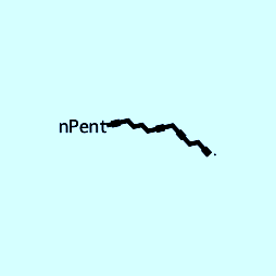 [C]#CCCC#CCC#CCCCCC#CCCCCC